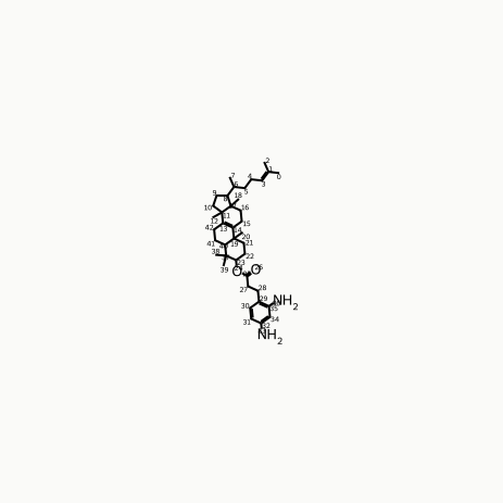 CC(C)=CCCC(C)C1CCC2(C)C3=C(CCC12C)C1(C)CCC(OC(=O)CCc2ccc(N)cc2N)C(C)(C)C1CC3